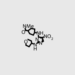 CNC(=O)C1CCC(Nc2nc(NC3CCOCC3)ncc2[N+](=O)[O-])CC1